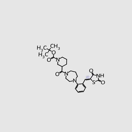 CC(C)(C)OC(=O)N1CCCC(C(=O)N2CCCN(c3ccccc3/C=C3\SC(=O)NC3=O)CC2)C1